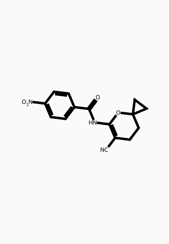 N#CC1=C(NC(=O)c2ccc([N+](=O)[O-])cc2)OC2(CC1)CC2